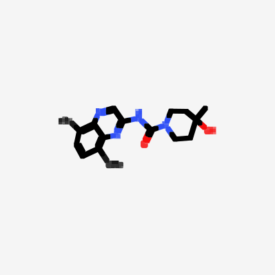 CCCCc1ccc(OC)c2nc(NC(=O)N3CCC(C)(O)CC3)cnc12